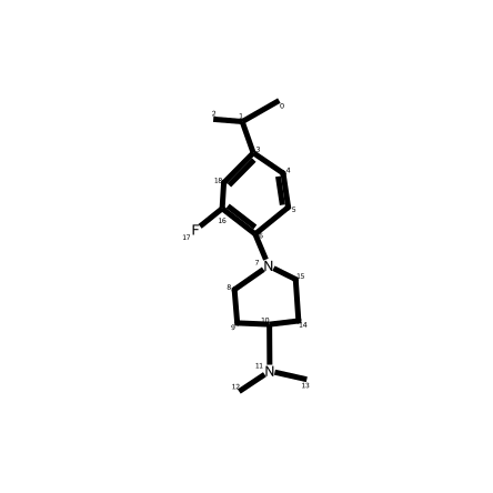 CC(C)c1ccc(N2CCC(N(C)C)CC2)c(F)c1